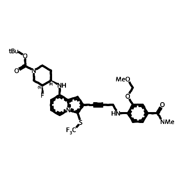 CNC(=O)c1ccc(NCC#Cc2cc3c(N[C@@H]4CCN(C(=O)OC(C)(C)C)C[C@@H]4F)cccn3c2SC(F)(F)F)c(OCOC)c1